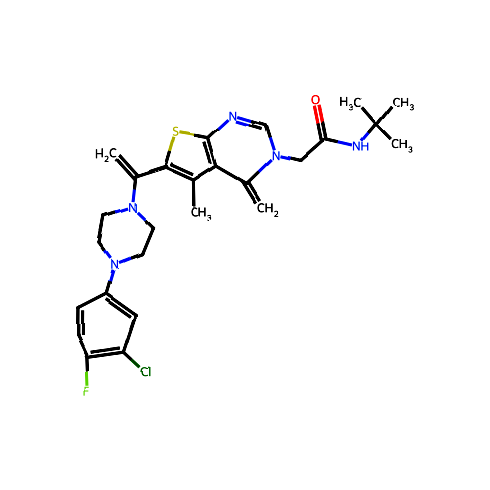 C=C1c2c(sc(C(=C)N3CCN(c4ccc(F)c(Cl)c4)CC3)c2C)N=CN1CC(=O)NC(C)(C)C